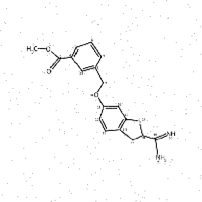 COC(=O)c1cccc(COc2ccc3c(c2)SC(C(=N)N)C3)c1